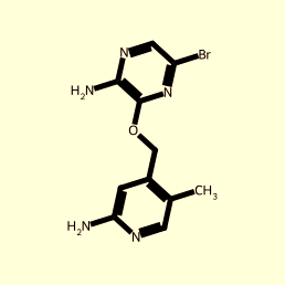 Cc1cnc(N)cc1COc1nc(Br)cnc1N